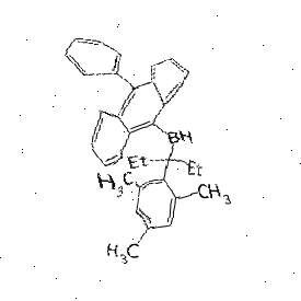 CCC(Bc1c2ccccc2c(-c2ccccc2)c2ccccc12)(CC)c1c(C)cc(C)cc1C